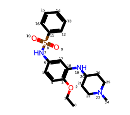 CCOc1ccc(NS(=O)(=O)c2ccccc2)cc1NC1CCN(C)CC1